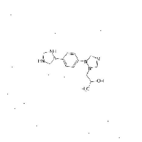 CC(O)CN1C=NCN1c1ccc(N2CNCN2)cc1